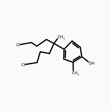 Cc1cc(C(C)(CCCCl)CCCCl)ccc1O